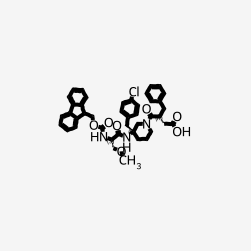 COC[C@H](NC(=O)OCC1c2ccccc2-c2ccccc21)C(=O)N[C@@]1(Cc2ccc(Cl)cc2)CCCN(C(=O)[C@@H](CC(=O)O)Cc2ccccc2)C1